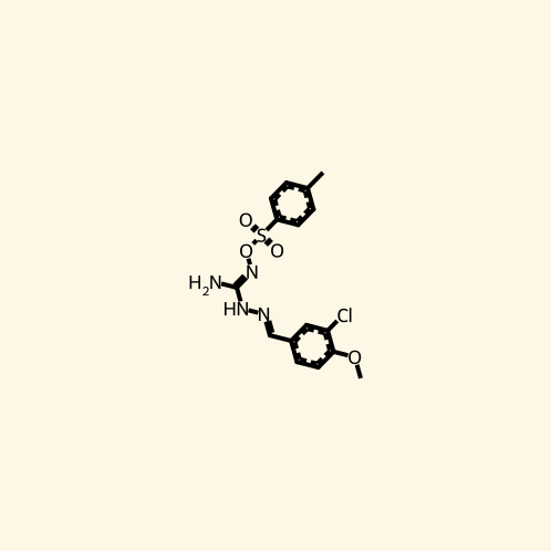 COc1ccc(C=NNC(N)=NOS(=O)(=O)c2ccc(C)cc2)cc1Cl